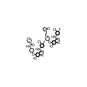 COc1cc2ncnc(Nc3ccc(F)c(Cl)c3)c2cc1OC1CCC(NC(=O)N2CCOCC2)CC1.COc1cc2ncnc(Nc3ccc(F)c(Cl)c3)c2cc1OC1CCN(CCN2CCCC2=O)CC1